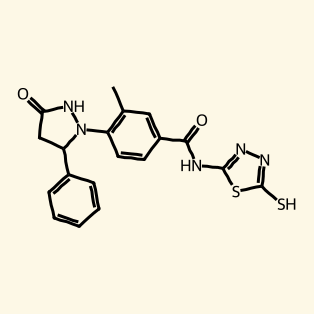 Cc1cc(C(=O)Nc2nnc(S)s2)ccc1N1NC(=O)CC1c1ccccc1